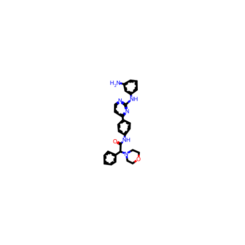 Nc1cccc(Nc2nccc(-c3ccc(NC(=O)C(c4ccccc4)N4CCOCC4)cc3)n2)c1